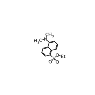 CCOS(=O)(=O)c1cccc2c(N(C)C)cccc12